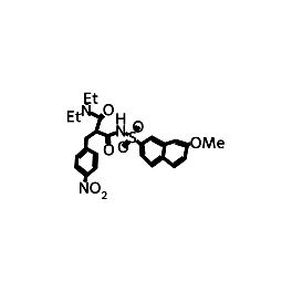 CCN(CC)C(=O)C(Cc1ccc([N+](=O)[O-])cc1)C(=O)NS(=O)(=O)c1ccc2ccc(OC)cc2c1